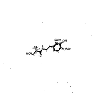 COc1ccc(CCNC(=O)[C@@H](N)CO)c(OC)c1O